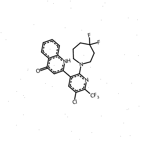 O=c1cc(-c2cc(Cl)c(C(F)(F)F)nc2N2CCCC(F)(F)CC2)[nH]c2ccccc12